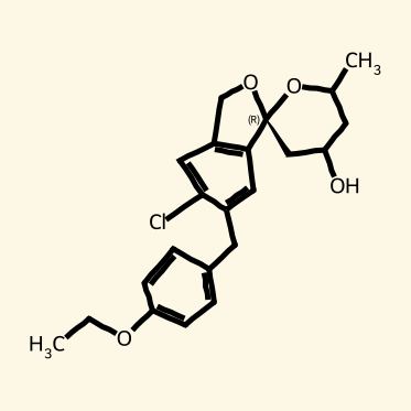 CCOc1ccc(Cc2cc3c(cc2Cl)CO[C@@]32CC(O)CC(C)O2)cc1